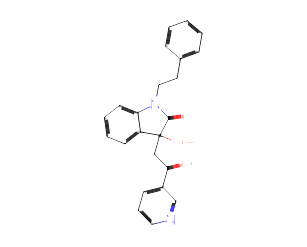 O=C(CC1(O)C(=O)N(CCc2ccccc2)c2ccccc21)c1cccnc1